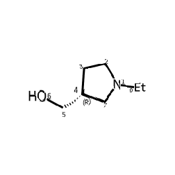 CCN1CC[C@@H](CO)C1